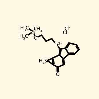 C[Si](C)(C)OCC[CH2][Ti+2][C]1=C2C(=CC(=O)C3=C2[SiH2]3)c2ccccc21.[Cl-].[Cl-]